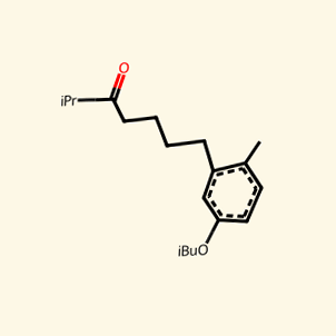 Cc1ccc(OCC(C)C)cc1CCCCC(=O)C(C)C